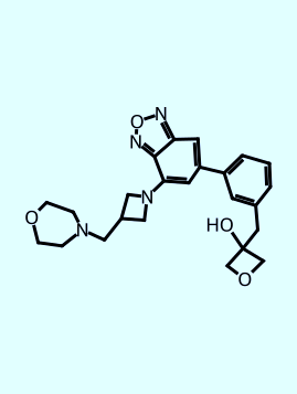 OC1(Cc2cccc(-c3cc(N4CC(CN5CCOCC5)C4)c4nonc4c3)c2)COC1